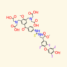 COC(=O)C(CNC(=S)Nc1ccc(C(=O)c2cc(CN(CC(=O)O)CC(=O)O)c(OC)c(CN(CC(=O)O)CC(=O)O)c2)cc1)c1cc(I)c(Oc2cc(I)c(O)c(I)c2)c(I)c1